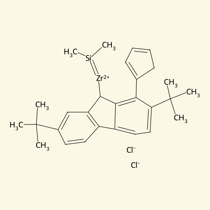 C[Si](C)=[Zr+2][CH]1c2cc(C(C)(C)C)ccc2-c2ccc(C(C)(C)C)c(C3=CC=CC3)c21.[Cl-].[Cl-]